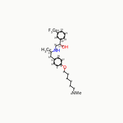 CNCCCCCCOc1ccc(CC(C)NCC(O)c2cccc(C(F)(F)F)c2)cc1